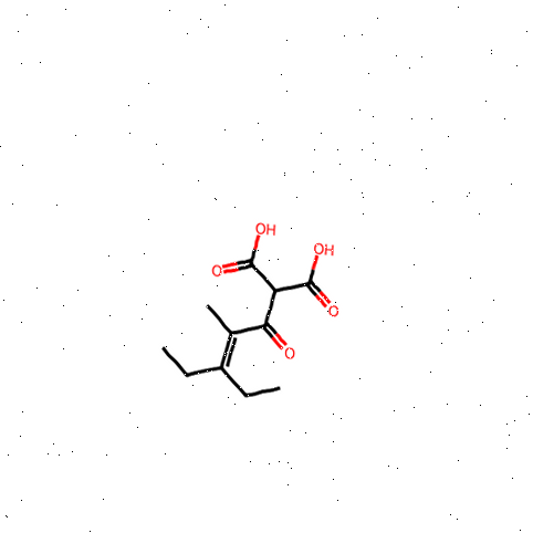 CCC(CC)=C(C)C(=O)C(C(=O)O)C(=O)O